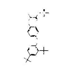 CC(Oc1ccc(Oc2ncc(C(F)(F)F)cc2C(F)(F)F)cc1)C(=O)NS(C)(=O)=O